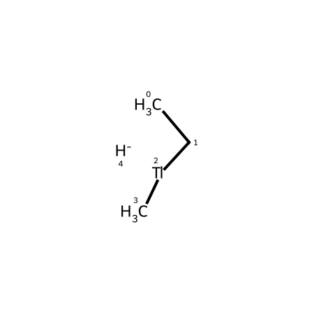 C[CH2][Tl][CH3].[H-]